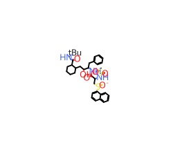 CC(C)(C)NC(=O)C1CCCCC1CC(O)C(Cc1ccccc1)NC(=O)C(C[S+]([O-])c1cccc2ccccc12)NS(C)(=O)=O